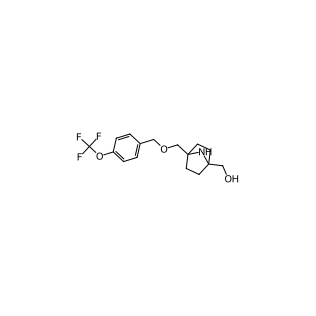 OCC12CCC(COCc3ccc(OC(F)(F)F)cc3)(CC1)N2